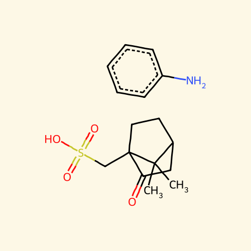 CC1(C)C2CCC1(CS(=O)(=O)O)C(=O)C2.Nc1ccccc1